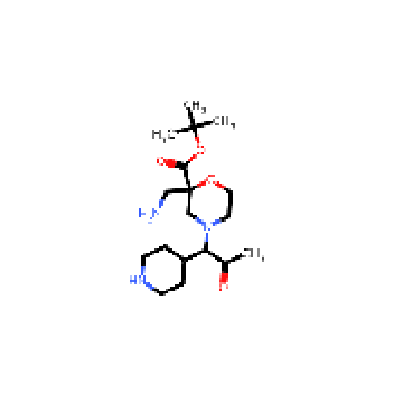 CC(=O)C(C1CCNCC1)N1CCOC(CN)(C(=O)OC(C)(C)C)C1